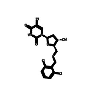 CCc1cn([C@H]2C[C@H](O)[C@@H](CSCc3c(Cl)cccc3Cl)O2)c(=O)[nH]c1=O